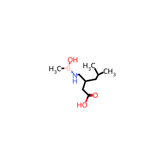 CB(O)NCC(CC(=O)O)CC(C)C